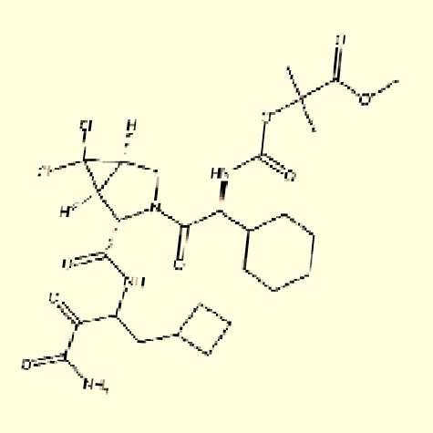 COC(=O)C(C)(C)OC(=O)N[C@H](C(=O)N1C[C@H]2[C@@H]([C@H]1C(=O)NC(CC1CCC1)C(=O)C(N)=O)C2(Cl)Cl)C1CCCCC1